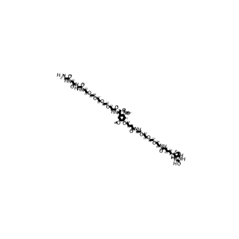 COc1cc(C(C)NC(=O)CCOCCOCCOCCOCCNC(=O)CNC(=O)CNC(=O)CN)c([N+](=O)[O-])cc1OCCCC(=O)NCCOCCOCCOCCNC(=O)CCCC[C@@H]1SC[C@@H]2NC(=O)N[C@@H]21